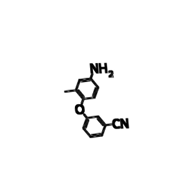 Cc1cc(N)ccc1Oc1cccc(C#N)c1